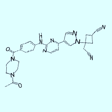 CC(=O)N1CCN(C(=O)c2ccc(Nc3nccc(-c4cnn(C5(CC#N)CC(C#N)C5)c4)n3)cc2)CC1